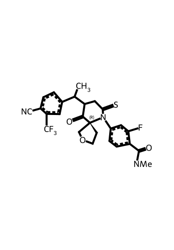 CNC(=O)c1ccc(N2C(=S)CC(C(C)c3ccc(C#N)c(C(F)(F)F)c3)C(=O)[C@]23CCOC3)cc1F